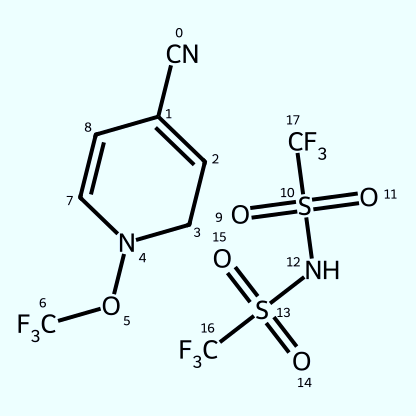 N#CC1=CCN(OC(F)(F)F)C=C1.O=S(=O)(NS(=O)(=O)C(F)(F)F)C(F)(F)F